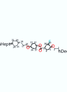 CCCCCCCCCCCCOc1ccc(C(=O)Oc2ccc(OCCC[C@H]3CC[C@H](CCCCCCC)CC3)cc2)cc1F